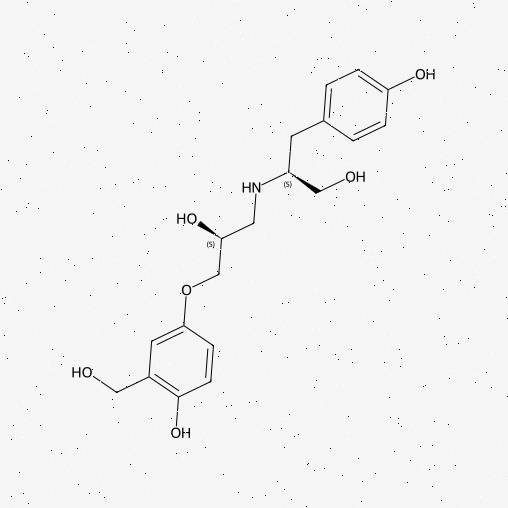 OCc1cc(OC[C@@H](O)CN[C@H](CO)Cc2ccc(O)cc2)ccc1O